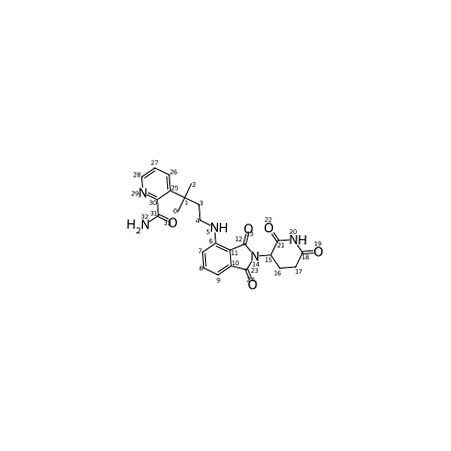 CC(C)(CCNc1cccc2c1C(=O)N(C1CCC(=O)NC1=O)C2=O)c1cccnc1C(N)=O